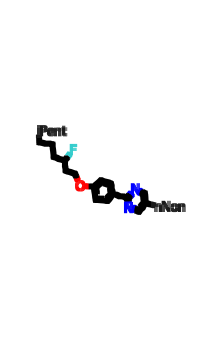 CCCCCCCCCc1cnc(-c2ccc(OCCC(F)CCCC(C)CCC)cc2)nc1